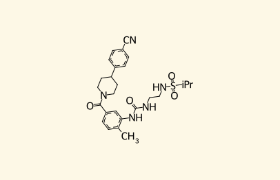 Cc1ccc(C(=O)N2CCC(c3ccc(C#N)cc3)CC2)cc1NC(=O)NCCNS(=O)(=O)C(C)C